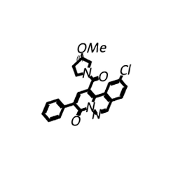 CO[C@@H]1CCN(C(=O)c2cc(-c3ccccc3)c(=O)n3ncc4ccc(Cl)cc4c23)C1